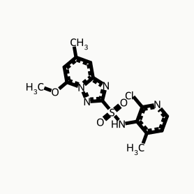 COc1cc(C)cc2nc(S(=O)(=O)Nc3c(C)ccnc3Cl)nn12